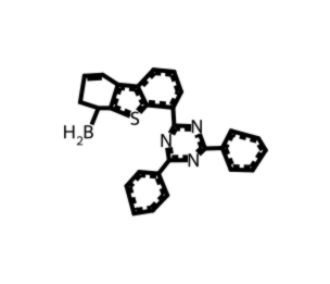 BC1CC=Cc2c1sc1c(-c3nc(-c4ccccc4)nc(-c4ccccc4)n3)cccc21